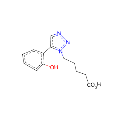 O=C(O)CCCCn1nncc1-c1ccccc1O